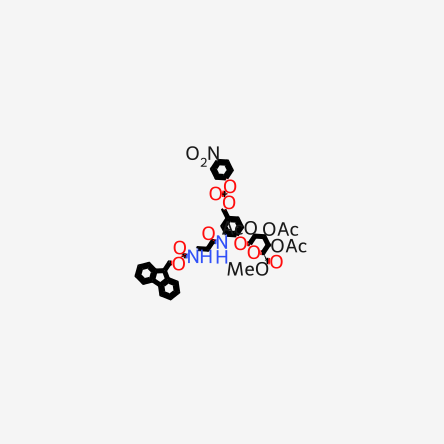 COC(=O)[C@@H]1OC(Oc2ccc(COC(=O)Oc3ccc([N+](=O)[O-])cc3)cc2NC(=O)CCNC(=O)OCC2c3ccccc3-c3ccccc32)[C@@H](OC(C)=O)[C@H](OC(C)=O)[C@H]1OC(C)=O